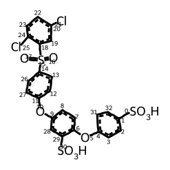 O=S(=O)(O)c1ccc(Oc2ccc(Oc3ccc(S(=O)(=O)c4cc(Cl)ccc4Cl)cc3)cc2S(=O)(=O)O)cc1